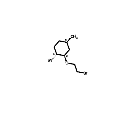 CC(C)[C@@H]1CC[C@@H](C)C[C@H]1OCCBr